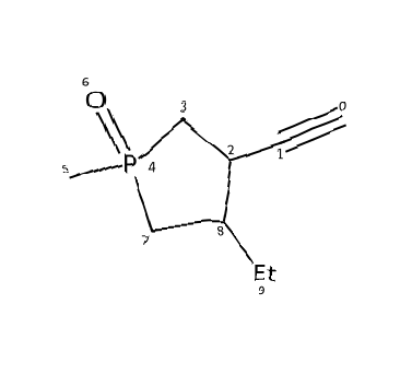 C#CC1CP(C)(=O)CC1CC